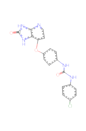 O=C(Nc1ccc(Cl)cc1)Nc1ccc(Oc2ccnc3[nH]c(=O)[nH]c23)cc1